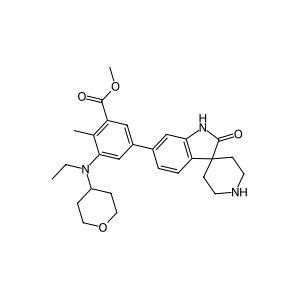 CCN(c1cc(-c2ccc3c(c2)NC(=O)C32CCNCC2)cc(C(=O)OC)c1C)C1CCOCC1